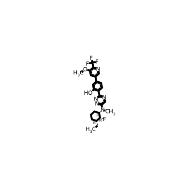 CC[C@@H]1CCC[C@H](N(C)c2cnc(-c3ccc(-c4cnc(C(F)(F)F)c(OC)c4)cc3O)nn2)[C@@H]1F